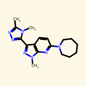 Cc1nnc(-c2nn(C)c3nc(N4CCCCCC4)ccc23)n1C